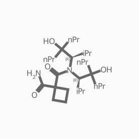 CCCC(O)(CCC)[C@@H](C(C)C)N(C(=O)C1(C(N)=O)CCC1)[C@H](C(C)C)C(O)(CCC)CCC